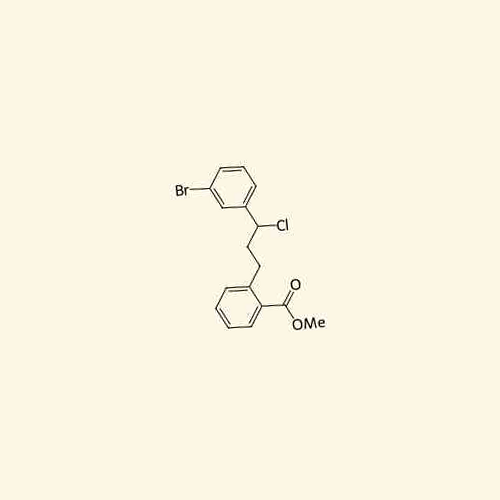 COC(=O)c1ccccc1CCC(Cl)c1cccc(Br)c1